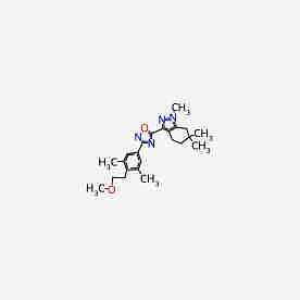 COCCc1c(C)cc(-c2noc(-c3nn(C)c4c3CCC(C)(C)C4)n2)cc1C